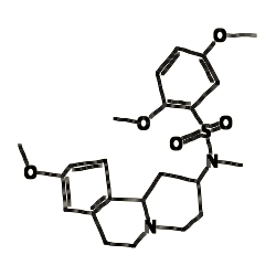 COc1ccc2c(c1)CCN1CCC(N(C)S(=O)(=O)c3cc(OC)ccc3OC)CC21